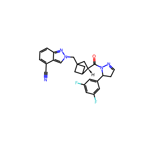 N#Cc1cccc2nn(CC34CC(C3)[C@@H](C(=O)N3N=CCC3c3cc(F)cc(F)c3)C4)cc12